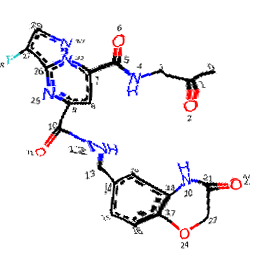 CC(=O)CNC(=O)c1cc(C(=O)NCc2ccc3c(c2)NC(=O)CO3)nc2c(F)cnn12